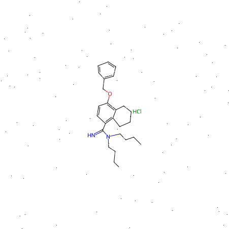 CCCCN(CCCC)C(=N)c1ccc(OCc2ccccc2)c2c1CCCC2.Cl